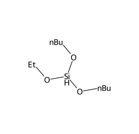 CCCCO[SiH](OCC)OCCCC